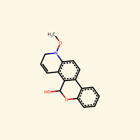 CON1CC=Cc2c1ccc1c2C(O)Oc2ccccc2-1